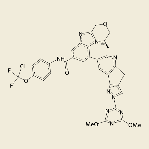 COc1nc(OC)nc(-n2cc3c(n2)-c2cc(-c4cc(C(=O)Nc5ccc(OC(F)(F)Cl)cc5)cc5nc6n(c45)[C@H](C)COC6)cnc2C3)n1